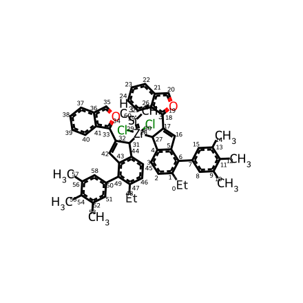 CCc1ccc2c(c1-c1cc(C)c(C)c(C)c1)C=C(c1occ3ccccc13)[CH]2[Zr]([Cl])([Cl])([CH]1C(c2occ3ccccc23)=Cc2c1ccc(CC)c2-c1cc(C)c(C)c(C)c1)=[Si](C)C